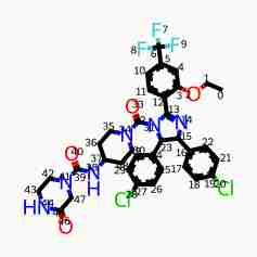 CCOc1cc(C(F)(F)F)ccc1C1=NC(c2ccc(Cl)cc2)C(c2ccc(Cl)cc2)N1C(=O)N1CCC(NC(=O)N2CCNC(=O)C2)CC1